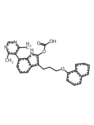 Cc1ncnc(C)c1-c1cccc2c(CCCOc3cccc4ccccc34)c(OC(=O)O)[nH]c12